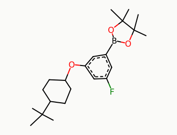 CC(C)(C)C1CCC(Oc2cc(F)cc(B3OC(C)(C)C(C)(C)O3)c2)CC1